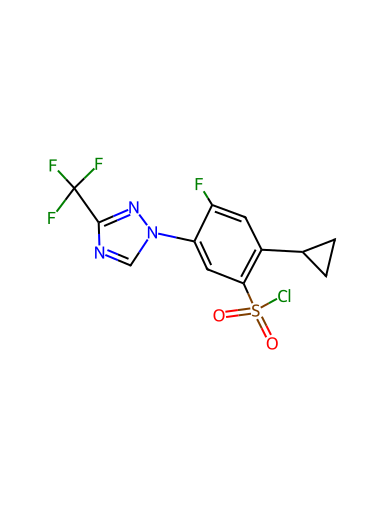 O=S(=O)(Cl)c1cc(-n2cnc(C(F)(F)F)n2)c(F)cc1C1CC1